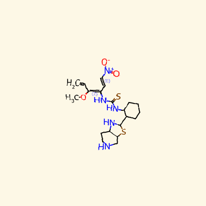 C=C/C(OC)=C(\C=C\[N+](=O)[O-])NC(=S)NC1CCCCC1C1NC2CCNCC2S1